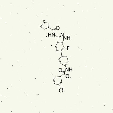 O=C(Nc1n[nH]c2c(F)c(-c3ccc(NS(=O)(=O)c4cccc(Cl)c4)cc3)ccc12)c1ccsc1